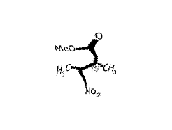 COC(=O)[C@@H](C)C(C)[N+](=O)[O-]